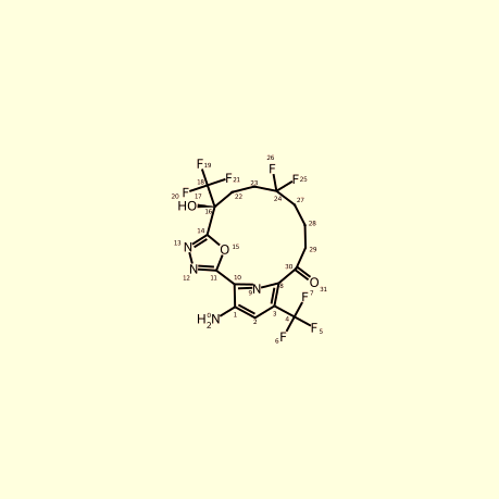 Nc1cc(C(F)(F)F)c2nc1-c1nnc(o1)[C@](O)(C(F)(F)F)CCC(F)(F)CCCC2=O